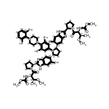 COC(=O)N[C@H](C(=O)N1CCCC1c1nc2cc([C@H]3CC[C@H](c4cc5nc([C@@H]6CCCN6C(=O)[C@@H](NC(=O)OC)[C@@H](C)OC)[nH]c5cc4F)N3c3cc(F)c(N4CCN(c5c(F)cccc5F)CC4)c(F)c3)c(F)cc2[nH]1)[C@@H](C)OC